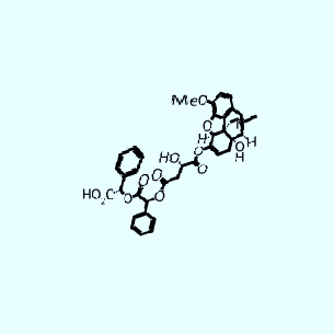 COc1ccc2c3c1O[C@@H]1C(OC(=O)[C@@H](O)CC(=O)O[C@H](C(=O)O[C@H](C(=O)O)c4ccccc4)c4ccccc4)=CC[C@]4(O)[C@H](C2)N(C)CC[C@@]314